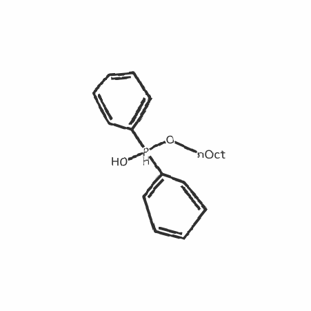 CCCCCCCCO[PH](O)(c1ccccc1)c1ccccc1